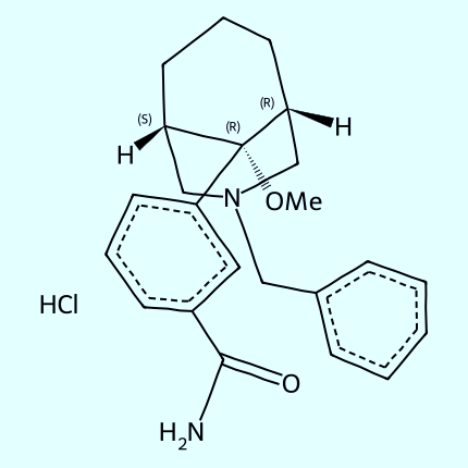 CO[C@@]1(c2cccc(C(N)=O)c2)[C@@H]2CCC[C@H]1CN(Cc1ccccc1)C2.Cl